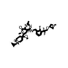 COC1(c2cc3c(NCc4cccc(C(F)(F)COC5CN(C)C5)c4F)nc(C)nc3c(=O)n2C)CCS(=O)(=NC2CC2)CC1